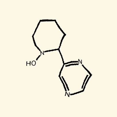 ON1CCCCC1c1cnccn1